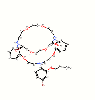 COCCOc1cc(Br)ccc1N1CCOc2ccccc2N2CCOCCOCCN(C(=O)COCCOCC2=O)c2ccccc2OCC1